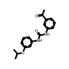 CC(=O)c1cccc(NC(=O)Nc2cccc(OC(C)C)c2)c1